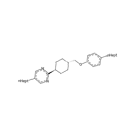 CCCCCCCc1ccc(OC[C@H]2CC[C@H](c3ncc(CCCCCCC)cn3)CC2)cc1